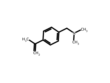 C=C(C)c1ccc(CN(C)C)cc1